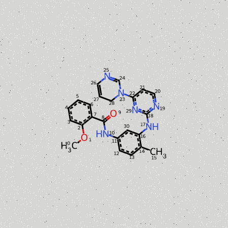 COc1ccccc1C(=O)Nc1ccc(C)c(Nc2nccc(N3C=NC=CC3)n2)c1